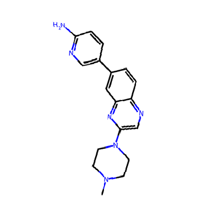 CN1CCN(c2cnc3ccc(-c4ccc(N)nc4)cc3n2)CC1